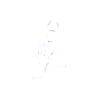 CC(=O)OCC1=C(C(=O)O)N2C(=O)[C@@H](NC(=O)Cc3ccccc3)[C@H]2[S@@+]([O-])C1